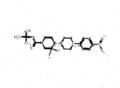 CC(C)(C)OC(=O)N1CC[C@H](N2CCN(c3ccc([N+](=O)[O-])cc3)CC2)C(F)(F)C1